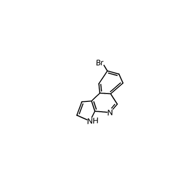 Brc1ccc2cnc3[nH]ccc3c2c1